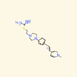 CN1C=CC(/C=C/c2ccc(N3CCN(CCSC(=N)N)CC3)cc2)=CC1